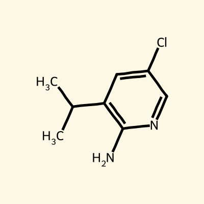 CC(C)c1cc(Cl)cnc1N